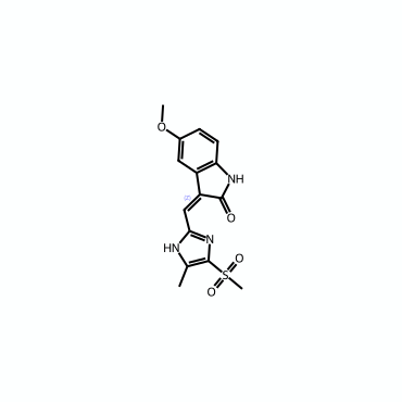 COc1ccc2c(c1)/C(=C/c1nc(S(C)(=O)=O)c(C)[nH]1)C(=O)N2